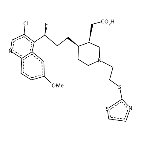 COc1ccc2ncc(Cl)c([C@@H](F)CC[C@@H]3CCN(CCSc4nccs4)C[C@@H]3CC(=O)O)c2c1